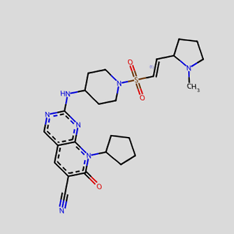 CN1CCCC1/C=C/S(=O)(=O)N1CCC(Nc2ncc3cc(C#N)c(=O)n(C4CCCC4)c3n2)CC1